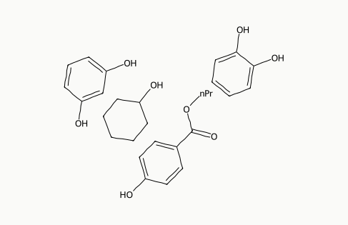 CCCOC(=O)c1ccc(O)cc1.OC1CCCCC1.Oc1cccc(O)c1.Oc1ccccc1O